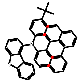 CC(C)(C)c1ccc(N(c2ccccc2-c2cccc3cccc(-c4ccccc4)c23)c2cccc3sc4ccccc4c23)cc1